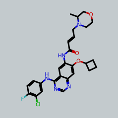 CC1COCCN1C/C=C/C(=O)Nc1cc2c(Nc3ccc(F)c(Cl)c3)ncnc2cc1OC1CCC1